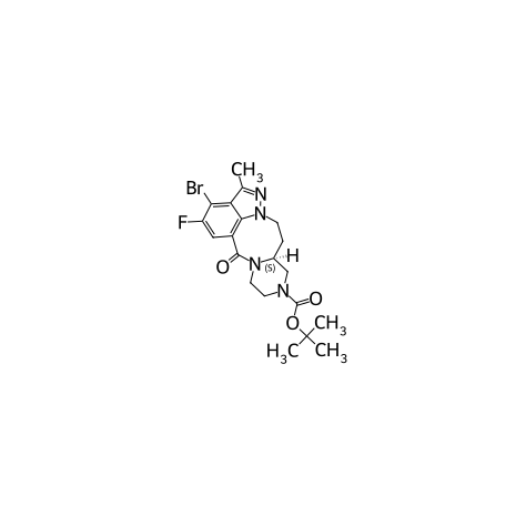 Cc1nn2c3c(cc(F)c(Br)c13)C(=O)N1CCN(C(=O)OC(C)(C)C)C[C@@H]1CC2